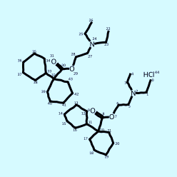 CCN(CC)CCOC(=O)C1(C2CCCCC2)CCCCC1.CCN(CC)CCOC(=O)C1(C2CCCCC2)CCCCC1.Cl